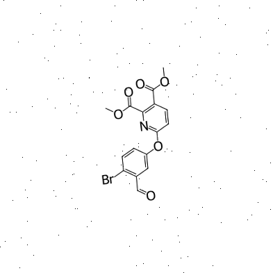 COC(=O)c1ccc(Oc2ccc(Br)c(C=O)c2)nc1C(=O)OC